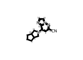 N#Cc1cc(N2CC3CCCC3C2)c2nccn2n1